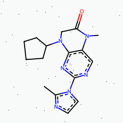 Cc1nccn1-c1ncc2c(n1)N(C1CCCC1)CC(=O)N2C